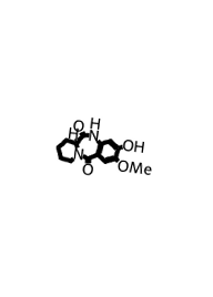 COc1cc2c(cc1O)NC(=O)[C@@H]1CCCCN1C2=O